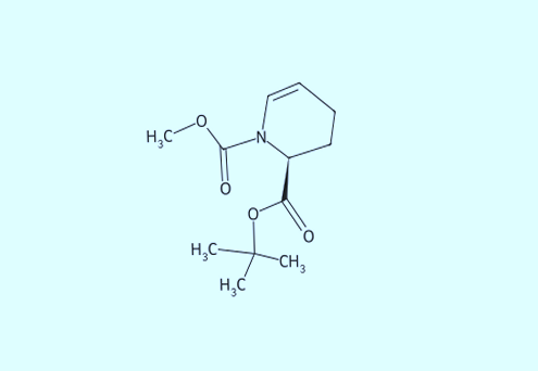 COC(=O)N1C=CCC[C@H]1C(=O)OC(C)(C)C